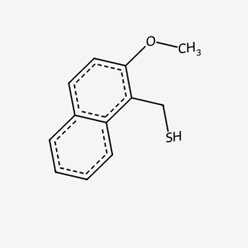 COc1ccc2ccccc2c1CS